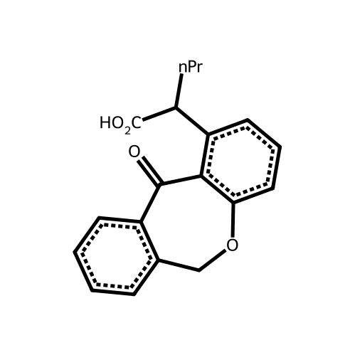 CCCC(C(=O)O)c1cccc2c1C(=O)c1ccccc1CO2